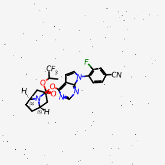 CC(OC(=O)N1[C@H]2CC[C@H]1CC(Oc1ncnc3c1ccn3-c1ccc(C#N)cc1F)C2)C(F)(F)F